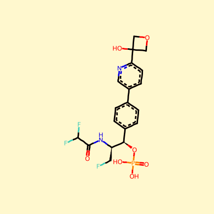 O=C(N[C@H](CF)[C@H](OP(=O)(O)O)c1ccc(-c2ccc(C3(O)COC3)nc2)cc1)C(F)F